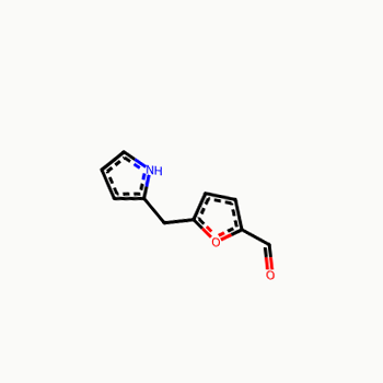 O=Cc1ccc(Cc2ccc[nH]2)o1